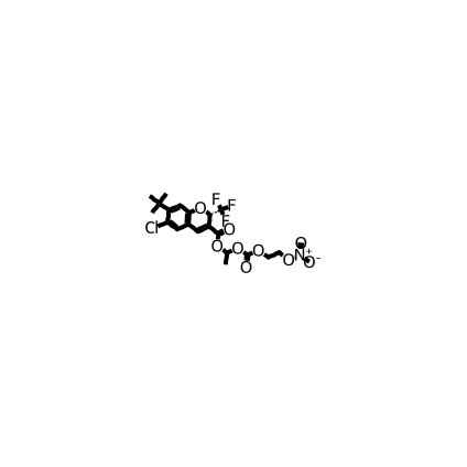 CC(OC(=O)OCCO[N+](=O)[O-])OC(=O)C1=Cc2cc(Cl)c(C(C)(C)C)cc2O[C@@H]1C(F)(F)F